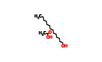 CC(=O)O.CCCCCCCCCCCCCCO